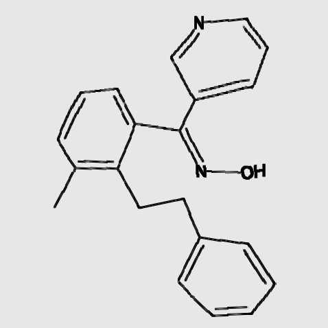 Cc1cccc(C(=NO)c2cccnc2)c1CCc1ccccc1